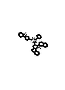 c1ccc(-c2nc(-c3ccc4c(c3)sc3ccccc34)nc(-c3cc4ccc5ccccc5c4c4sc5c6ccccc6ccc5c34)n2)cc1